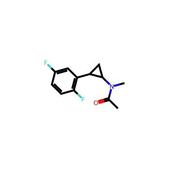 CC(=O)N(C)C1CC1c1cc(F)ccc1F